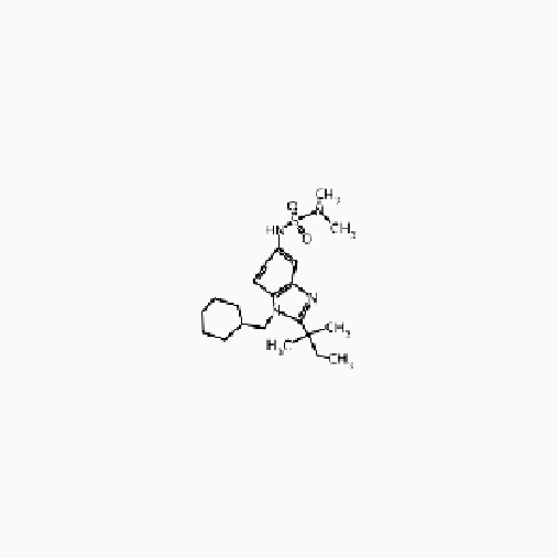 CCC(C)(C)c1nc2cc(NS(=O)(=O)N(C)C)ccc2n1CC1CCCCC1